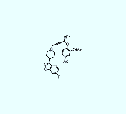 CCCC(C#CCN1CCC(c2noc3cc(F)ccc23)CC1)Oc1ccc(C(C)=O)cc1OC